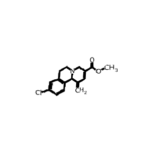 C=C1C=C(C(=O)OC)CN2CCc3cc(Cl)ccc3C12